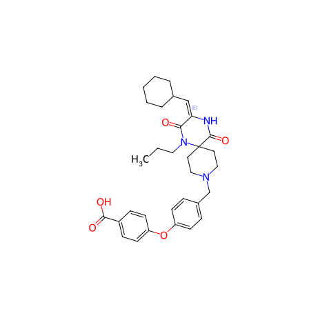 CCCN1C(=O)/C(=C\C2CCCCC2)NC(=O)C12CCN(Cc1ccc(Oc3ccc(C(=O)O)cc3)cc1)CC2